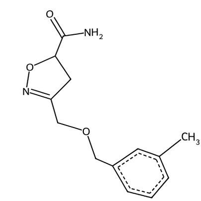 Cc1cccc(COCC2=NOC(C(N)=O)C2)c1